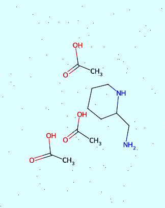 CC(=O)O.CC(=O)O.CC(=O)O.NCC1CCCCN1